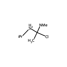 CNC(C)(Cl)[SiH2]C(C)C